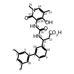 Cc1cc(C)cc(-c2cccc(C(CC(=O)O)NC(=O)Nc3c(O)c(C)cn(C)c3=O)c2)c1